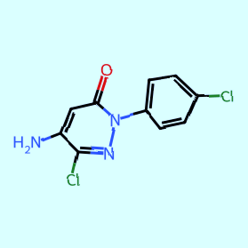 Nc1cc(=O)n(-c2ccc(Cl)cc2)nc1Cl